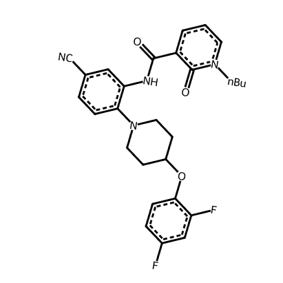 CCCCn1cccc(C(=O)Nc2cc(C#N)ccc2N2CCC(Oc3ccc(F)cc3F)CC2)c1=O